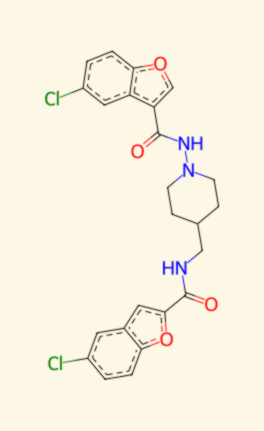 O=C(NCC1CCN(NC(=O)c2coc3ccc(Cl)cc23)CC1)c1cc2cc(Cl)ccc2o1